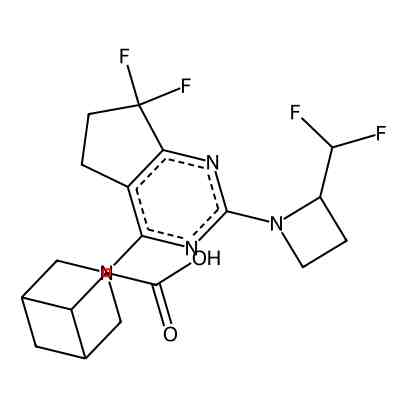 O=C(O)CC1C2CC1CN(c1nc(N3CCC3C(F)F)nc3c1CCC3(F)F)C2